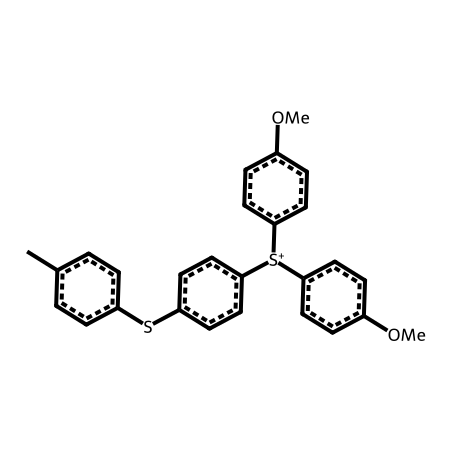 COc1ccc([S+](c2ccc(OC)cc2)c2ccc(Sc3ccc(C)cc3)cc2)cc1